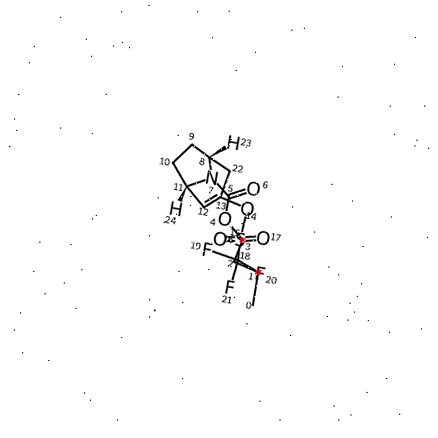 CCCCOC(=O)N1[C@@H]2CC[C@H]1C=C(OS(=O)(=O)C(F)(F)F)C2